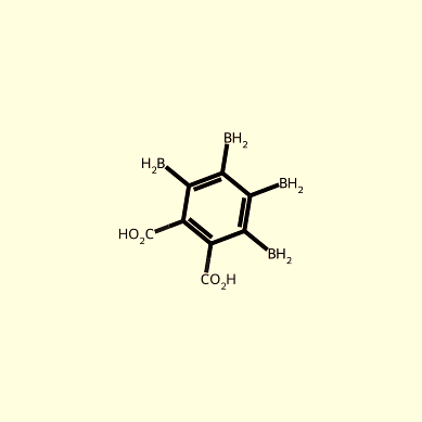 Bc1c(B)c(B)c(C(=O)O)c(C(=O)O)c1B